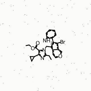 CCOC(=O)c1c(C2CC2)nc(CC)n1Cc1c2ccocc-2c(Br)c1-c1ccccc1N